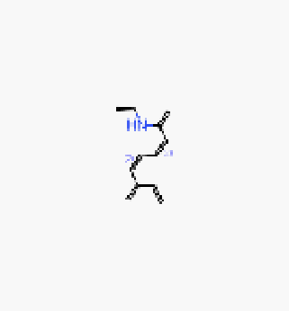 C=CNC(=C)/C=C\C=C/C(=C)C=C